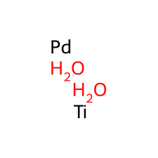 O.O.[Pd].[Ti]